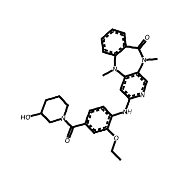 CCOc1cc(C(=O)N2CCCC(O)C2)ccc1Nc1cc2c(cn1)N(C)C(=O)c1ccccc1N2C